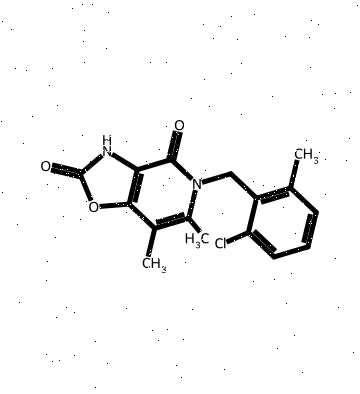 Cc1cccc(Cl)c1Cn1c(C)c(C)c2oc(=O)[nH]c2c1=O